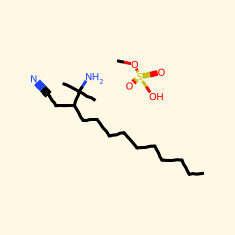 CCCCCCCCCCC(CC#N)C(C)(C)N.COS(=O)(=O)O